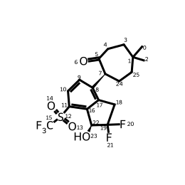 CC1(C)CCC(=O)[C@H](c2ccc(S(=O)(=O)C(F)(F)F)c3c2CC(F)(F)[C@H]3O)CC1